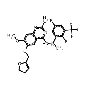 COc1cc2nc(C)nc(N[C@H](C)c3cc(F)cc(C(F)(F)F)c3F)c2cc1OCC1=CCCO1